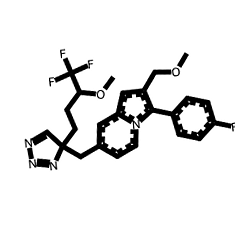 COCc1cc2cc(CC3(CCC(OC)C(F)(F)F)C=NN=N3)ccn2c1-c1ccc(F)cc1